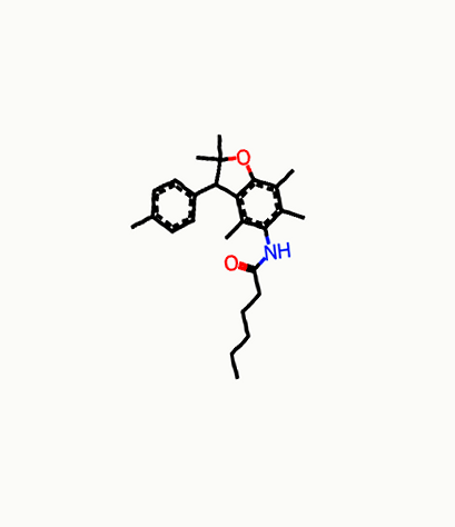 CCCCCC(=O)Nc1c(C)c(C)c2c(c1C)C(c1ccc(C)cc1)C(C)(C)O2